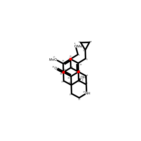 COCCC1CC2(O)C3Cc4c(CC5CC5)cc(OC)cc4C2(CCN3)CC1=O